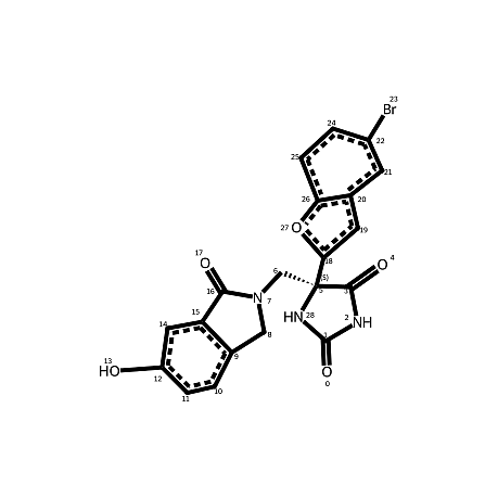 O=C1NC(=O)[C@](CN2Cc3ccc(O)cc3C2=O)(c2cc3cc(Br)ccc3o2)N1